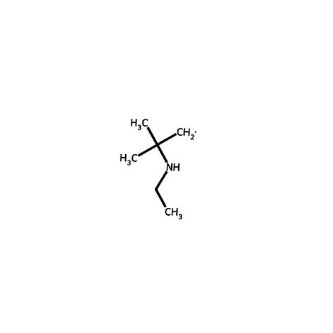 [CH2]C(C)(C)NCC